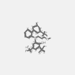 COCCCN(c1ccccc1-c1cc(C)cc(C(C)(C)C)c1)c1cc(C(F)(F)F)cc(C(C)(C)C)c1O